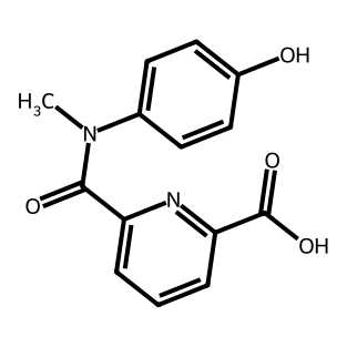 CN(C(=O)c1cccc(C(=O)O)n1)c1ccc(O)cc1